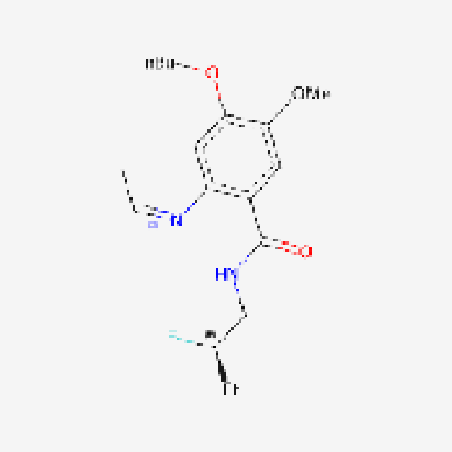 C/C=N\c1cc(OCCCC)c(OC)cc1C(=O)NC[C@H](F)CC